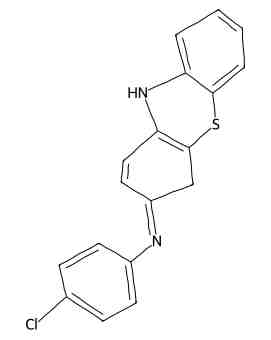 Clc1ccc(N=C2C=CC3=C(C2)Sc2ccccc2N3)cc1